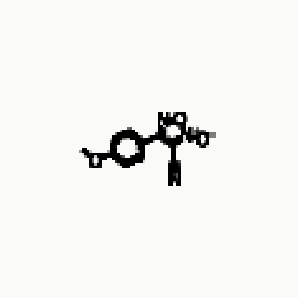 COc1ccc(-c2no[n+]([O-])c2C#N)cc1